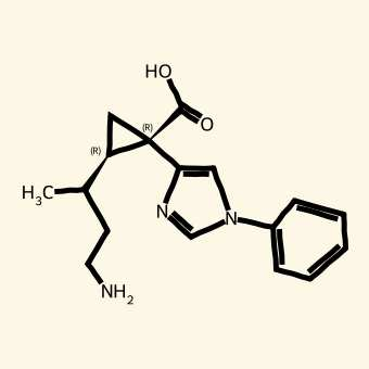 CC(CCN)[C@H]1C[C@]1(C(=O)O)c1cn(-c2ccccc2)cn1